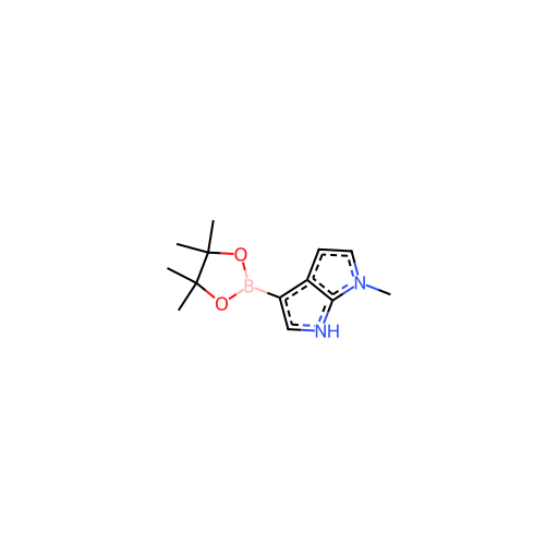 Cn1ccc2c(B3OC(C)(C)C(C)(C)O3)c[nH]c21